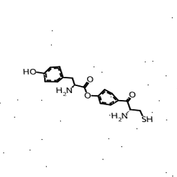 N[C@@H](Cc1ccc(O)cc1)C(=O)Oc1ccc(C(=O)[C@@H](N)CS)cc1